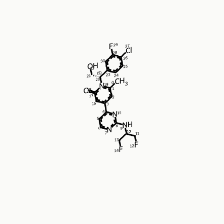 Cc1cc(-c2ccnc(NC(CF)CF)n2)cc(=O)n1[C@H](CO)c1ccc(Cl)c(F)c1